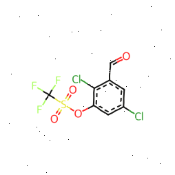 O=Cc1cc(Cl)cc(OS(=O)(=O)C(F)(F)F)c1Cl